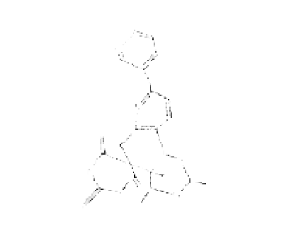 C[C@@H]1CN2c3ccc(-c4cccnc4)nc3CC3(C(=O)NC(=O)NC3=O)[C@H]2[C@H](C)O1